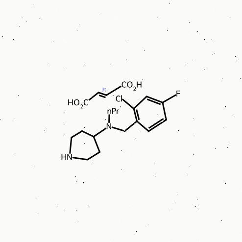 CCCN(Cc1ccc(F)cc1Cl)C1CCNCC1.O=C(O)/C=C/C(=O)O